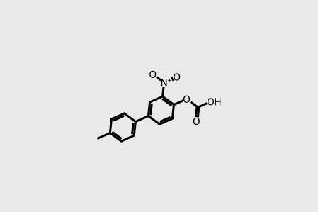 Cc1ccc(-c2ccc(OC(=O)O)c([N+](=O)[O-])c2)cc1